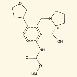 CC(C)(C)OC(=O)Nc1ccc(C2CCOC2)c(CN2CCC[C@@H]2CO)n1